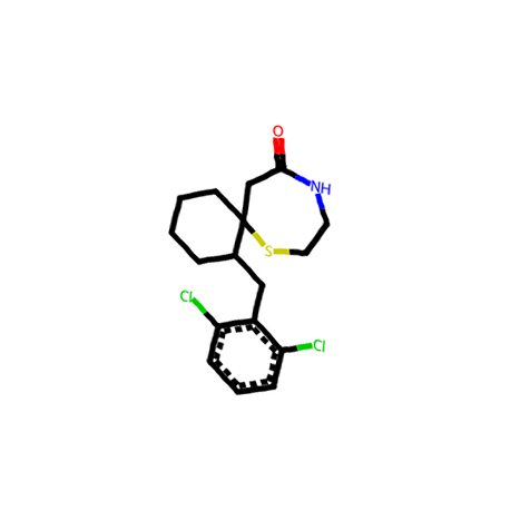 O=C1CC2(CCCCC2Cc2c(Cl)cccc2Cl)SCCN1